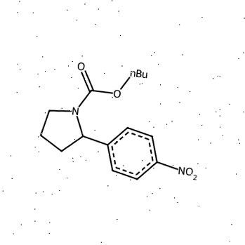 CCCCOC(=O)N1CCCC1c1ccc([N+](=O)[O-])cc1